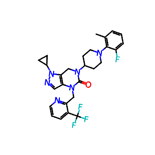 Cc1cccc(F)c1N1CCC(N2Cc3c(cnn3C3CC3)N(Cc3ncccc3C(F)(F)F)C2=O)CC1